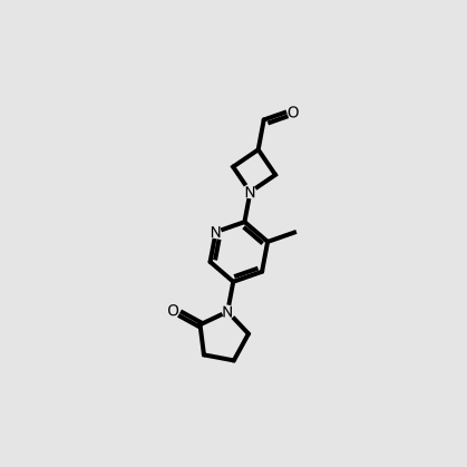 Cc1cc(N2CCCC2=O)cnc1N1CC(C=O)C1